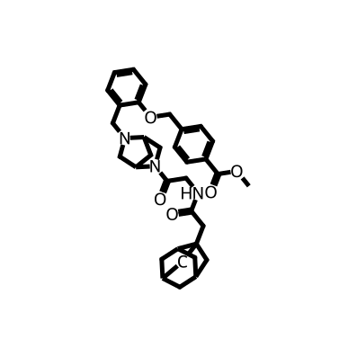 COC(=O)c1ccc(COc2ccccc2CN2CC3CC2CN3C(=O)CNC(=O)CC23CC4CC(CC2C4)C3)cc1